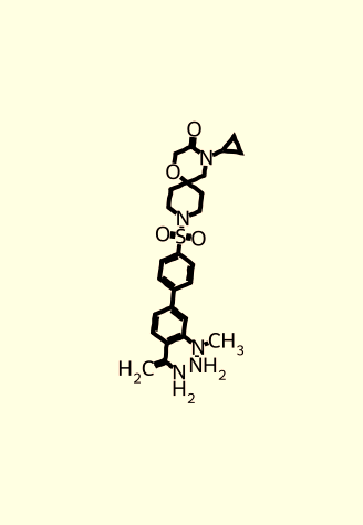 C=C(N)c1ccc(-c2ccc(S(=O)(=O)N3CCC4(CC3)CN(C3CC3)C(=O)CO4)cc2)cc1N(C)N